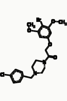 COc1cc(OCC(=O)N2CCN(Cc3ccc(Cl)cc3)CC2)cc(OC)c1Br